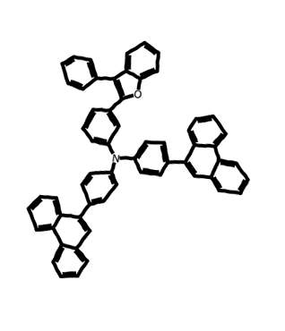 c1ccc(-c2c(-c3cccc(N(c4ccc(-c5cc6ccccc6c6ccccc56)cc4)c4ccc(-c5cc6ccccc6c6ccccc56)cc4)c3)oc3ccccc23)cc1